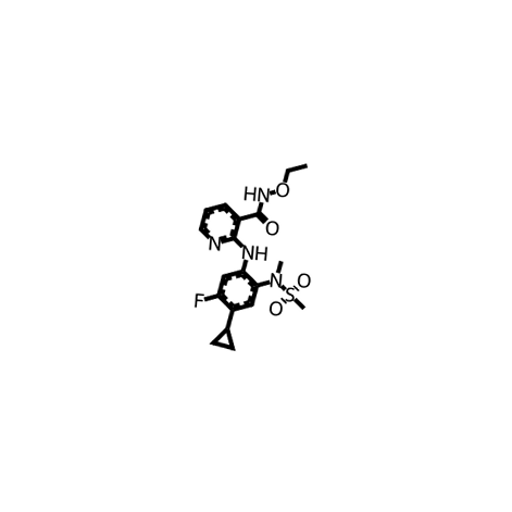 CCONC(=O)c1cccnc1Nc1cc(F)c(C2CC2)cc1N(C)S(C)(=O)=O